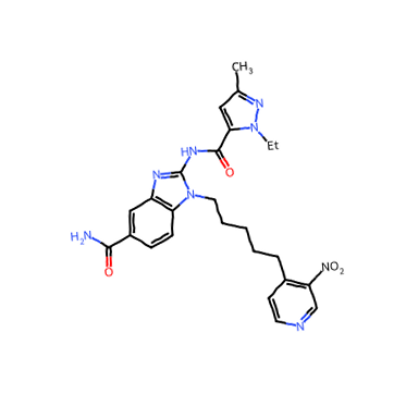 CCn1nc(C)cc1C(=O)Nc1nc2cc(C(N)=O)ccc2n1CCCCCc1ccncc1[N+](=O)[O-]